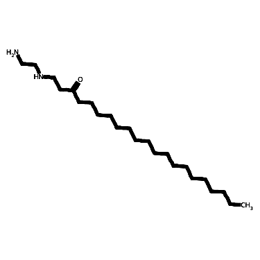 CCCCCCCCCCCCCCCCCCC(=O)CCNCCN